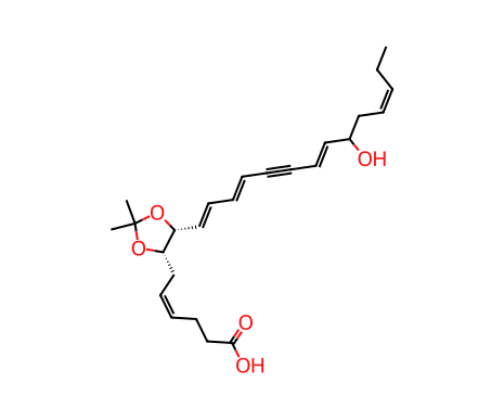 CC/C=C\CC(O)/C=C/C#C/C=C/C=C/[C@H]1OC(C)(C)O[C@H]1C/C=C\CCC(=O)O